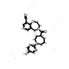 N#Cc1cncc2c1OCCN(C(=O)C1CCCN(c3ncc(F)cn3)CC1)C2